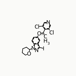 C[C@H](Oc1ccc2c(c1)c(I)nn2C1CCCCO1)c1c(Cl)cncc1Cl